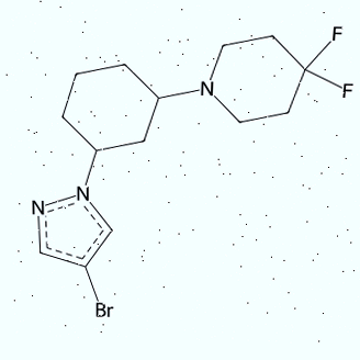 FC1(F)CCN(C2CCCC(n3cc(Br)cn3)C2)CC1